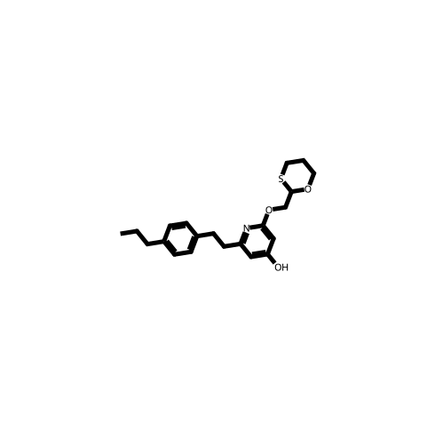 CCCc1ccc(CCc2cc(O)cc(OCC3OCCCS3)n2)cc1